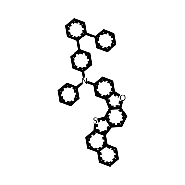 c1ccc(-c2ccccc2-c2ccc(N(c3ccccc3)c3ccc4oc5ccc6c(sc7ccc8ccccc8c76)c5c4c3)cc2)cc1